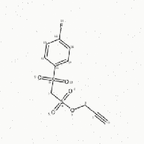 C#CCOS(=O)(=O)CS(=O)(=O)c1ccc(F)cc1